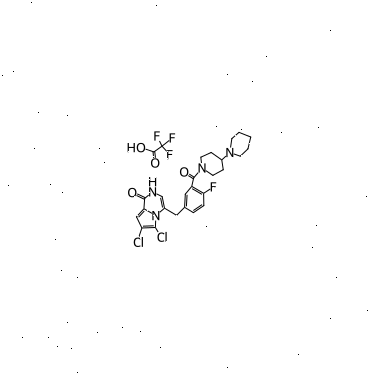 O=C(O)C(F)(F)F.O=C(c1cc(Cc2c[nH]c(=O)c3cc(Cl)c(Cl)n23)ccc1F)N1CCC(N2CCCCC2)CC1